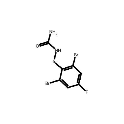 NC(=O)NSc1c(Br)cc(F)cc1Br